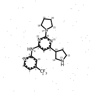 FC(F)(F)c1ccnc(Nc2cc(C3CCNC3)nc(N3CCCC3)n2)c1